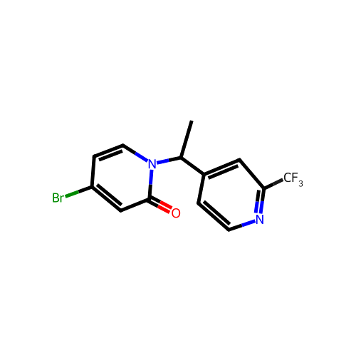 CC(c1ccnc(C(F)(F)F)c1)n1ccc(Br)cc1=O